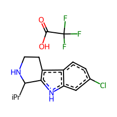 CC(C)C1NCCc2c1[nH]c1cc(Cl)ccc21.O=C(O)C(F)(F)F